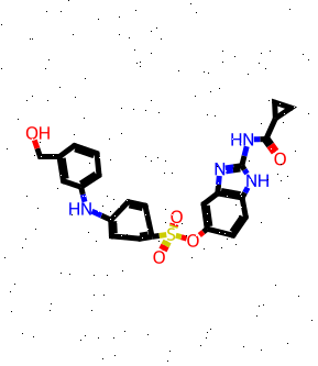 O=C(Nc1nc2cc(OS(=O)(=O)c3ccc(Nc4cccc(CO)c4)cc3)ccc2[nH]1)C1CC1